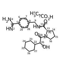 CC(=O)O.N=C(N)c1ccc(CNC(=O)[C@H]2CCCN2C(=O)C(O)C2CCCCC2)cc1